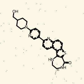 C[C@@H]1CNc2c(sc3ccc4nc(-c5ccc(N6CCC(CO)CC6)nc5)ccc4c23)C(=O)N1